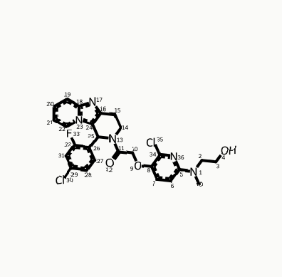 CN(CCO)c1ccc(OCC(=O)N2CCc3nc4ccccn4c3C2c2ccc(Cl)cc2F)c(Cl)n1